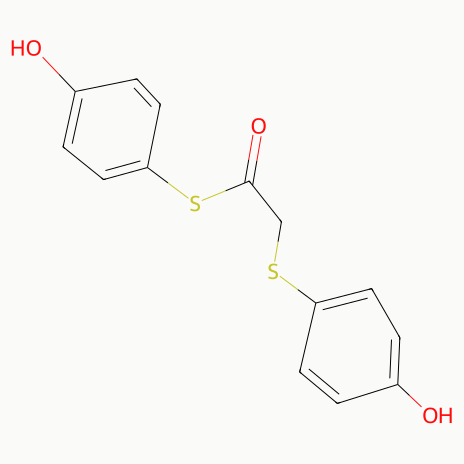 O=C(CSc1ccc(O)cc1)Sc1ccc(O)cc1